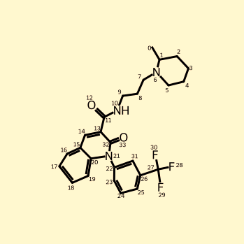 CC1CCCCN1CCCNC(=O)c1cc2ccccc2n(-c2cccc(C(F)(F)F)c2)c1=O